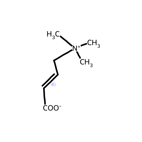 C[N+](C)(C)C/C=C/C(=O)[O-]